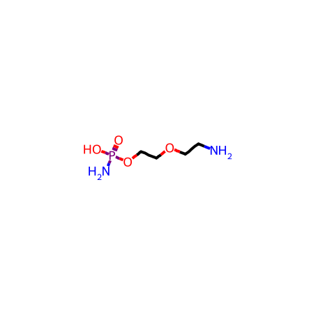 NCCOCCOP(N)(=O)O